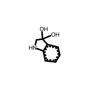 OC1(O)CNc2ccccc21